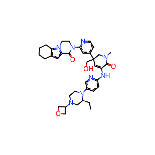 CC[C@H]1CN(C2COC2)CCN1c1ccc(NC2=CC(CO)(c3ccnc(N4CCn5c(cc6c5CCCC6)C4=O)c3)CN(C)C2=O)nc1